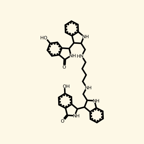 O=C1NC(C2c3ccccc3NC2CNCCCCNCC2Nc3ccccc3C2C2NC(=O)c3ccc(O)cc32)c2cc(O)ccc21